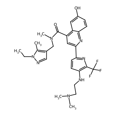 CCn1ncc(CN(C)C(=O)c2cc(-c3ccc(NCCN(C)C)c(C(F)(F)F)n3)nc3ccc(O)cc23)c1C